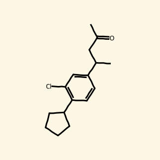 CC(=O)CC(C)c1ccc(C2CCCC2)c(Cl)c1